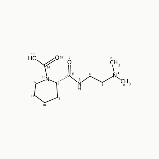 CN(C)CCNC(=O)[C@@H]1CCCCN1C(=O)O